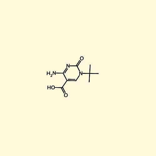 CC(C)(C)n1cc(C(=O)O)c(N)nc1=O